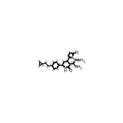 CCc1ccc(-c2cc(-c3ccc(CCC4CC4)cc3)[nH]c(=O)c2/C(N)=N/N)s1